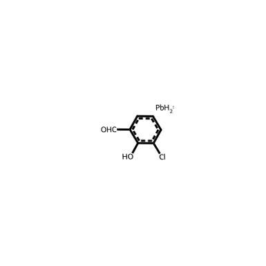 O=Cc1cccc(Cl)c1O.[PbH2]